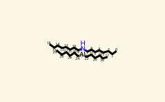 CCCCCCCCNCCCCCCCC.CCCCC[CH2][Al][CH2]CCCCC